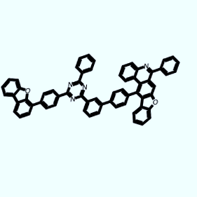 c1ccc(-c2nc(-c3ccc(-c4cccc5c4oc4ccccc45)cc3)nc(-c3cccc(-c4ccc(-c5c6c(cc7c(-c8ccccc8)nc8ccccc8c57)oc5ccccc56)cc4)c3)n2)cc1